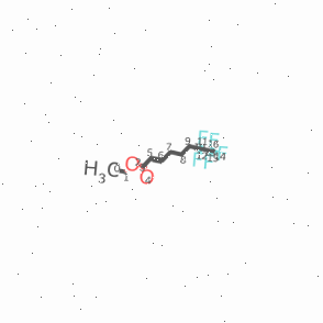 CCOC(=O)/C=C/CCCC(F)(F)C(F)(F)F